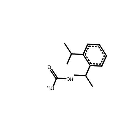 CC(C)c1ccccc1C(C)C.O=C(O)O